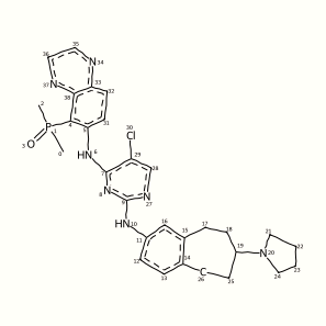 CP(C)(=O)c1c(Nc2nc(Nc3ccc4c(c3)CCC(N3CCCC3)CC4)ncc2Cl)ccc2nccnc12